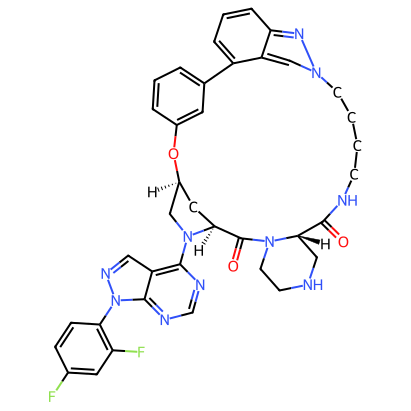 O=C1NCCCCn2cc3c(cccc3n2)-c2cccc(c2)O[C@H]2C[C@@H](C(=O)N3CCNC[C@@H]13)N(c1ncnc3c1cnn3-c1ccc(F)cc1F)C2